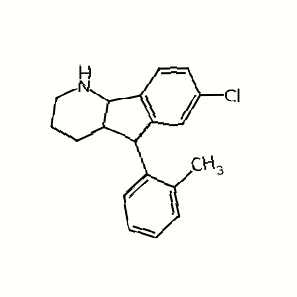 Cc1ccccc1C1c2cc(Cl)ccc2C2NCCCC21